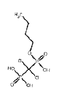 CCCCOP(=O)(O)C(Cl)(Cl)P(=O)(O)O